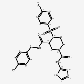 CC(C)c1ccc(CNC(=O)[C@H]2CN(C(=O)Nc3nnco3)CCN2S(=O)(=O)c2ccc(C(F)(F)F)cc2)cc1